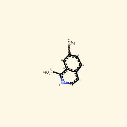 COc1ccc2ccnc(C(=O)O)c2c1